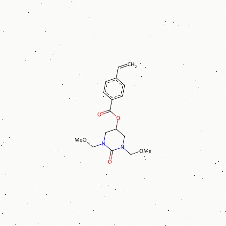 C=Cc1ccc(C(=O)OC2CN(COC)C(=O)N(COC)C2)cc1